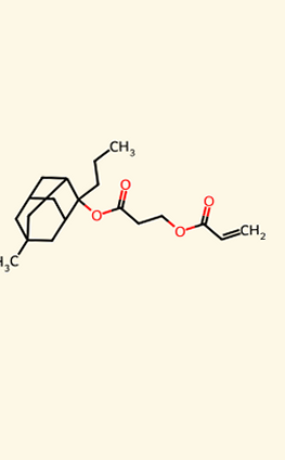 C=CC(=O)OCCC(=O)OC1(CCC)C2CC3CC1CC(C)(C3)C2